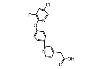 O=C(O)Cc1ccnc(-c2ccc(Oc3ncc(Cl)cc3F)cc2)c1